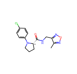 Cc1nonc1CNC(=O)[C@@H]1CCCN1c1ccc(Cl)cc1